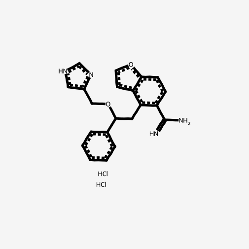 Cl.Cl.N=C(N)c1ccc2occc2c1CC(OCc1c[nH]cn1)c1ccccc1